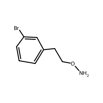 NOCCc1cccc(Br)c1